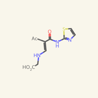 CC(=O)C(=CNCC(=O)O)C(=O)Nc1nccs1